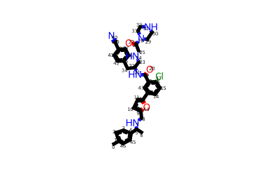 Cc1ccc(C(C)NCc2ccc(-c3ccc(Cl)c(C(=O)NC(CNCC(=O)N4CCNCC4)Cc4ccc(C#N)cc4)c3)o2)cc1